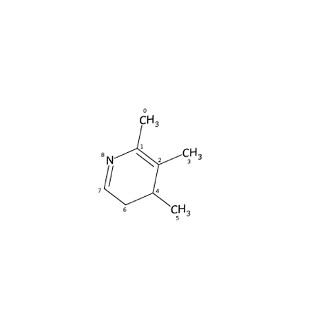 CC1=C(C)C(C)CC=N1